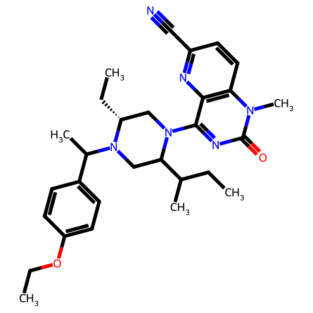 CCOc1ccc(C(C)N2CC(C(C)CC)N(c3nc(=O)n(C)c4ccc(C#N)nc34)C[C@H]2CC)cc1